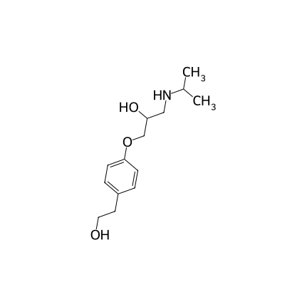 CC(C)NCC(O)COc1ccc(CCO)cc1